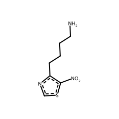 NCCCCc1ncsc1[N+](=O)[O-]